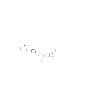 Cc1cc(C)cc(NC(=O)NC2CN(c3ccc([C@@H]4CCC(=O)NC4=O)cc3)C2)c1